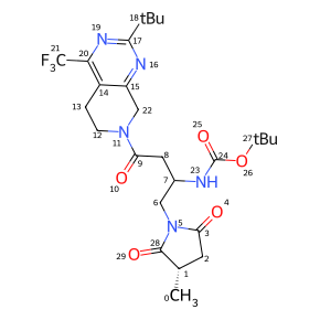 C[C@H]1CC(=O)N(CC(CC(=O)N2CCc3c(nc(C(C)(C)C)nc3C(F)(F)F)C2)NC(=O)OC(C)(C)C)C1=O